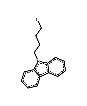 FCCCCn1c2ccccc2c2ccccc21